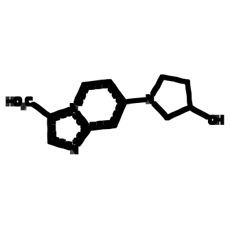 O=C(O)c1cnc2cc(N3CCC(O)C3)ccn12